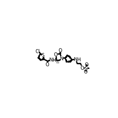 CS(=O)(=O)OCCNc1ccc(N2C[C@H](CNC(=O)c3ccc(Cl)s3)OC2=O)cc1